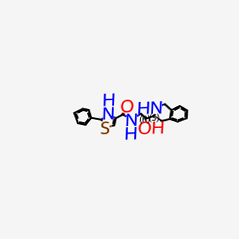 O=C(NC[C@@H](O)[C@@H]1Cc2ccccc2CN1)C1=CSC(c2ccccc2)N1